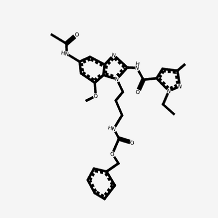 CCn1nc(C)cc1C(=O)Nc1nc2cc(NC(C)=O)cc(OC)c2n1CCCNC(=O)OCc1ccccc1